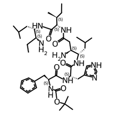 CC[C@H](C)[C@H](NC(=O)C[C@H](N)[C@H](CC(C)C)NC(=O)[C@H](Cc1c[nH]cn1)NC(=O)[C@H](Cc1ccccc1)NC(=O)OC(C)(C)C)C(=O)N[C@@H](CC(C)C)[C@@H](N)CC